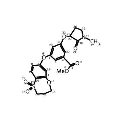 COC(=O)c1cc(Oc2ccc3c(c2)OCCCS3(=O)=O)cc(O[C@H]2CCN(C)C2=O)c1